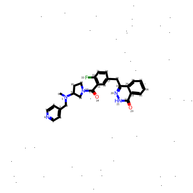 CN(Cc1ccncc1)C1CCN(C(=O)c2cc(Cc3n[nH]c(=O)c4ccccc34)ccc2F)C1